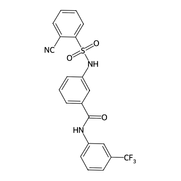 N#Cc1ccccc1S(=O)(=O)Nc1cccc(C(=O)Nc2cccc(C(F)(F)F)c2)c1